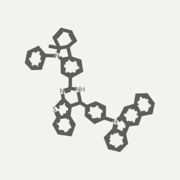 CC12C=CC=CC1c1ccc(C3=Nc4sc5ccccc5c4C(c4ccc(-n5c6ccccc6c6cc7ccccc7cc65)cc4)N3)cc1N2c1ccccc1